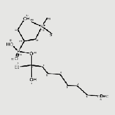 CCCCCCCCCCCCCCCCC(O)(CC)OP(=O)(O)C(CO)C[N+](C)(C)C